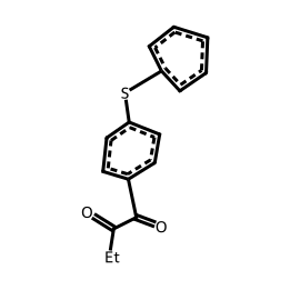 CCC(=O)C(=O)c1ccc(Sc2ccccc2)cc1